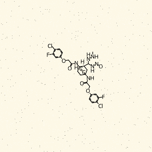 CNNC(NN=O)[C@H]1CC2(NC(=O)COc3ccc(Cl)c(F)c3)CCC1(NC(=O)COc1ccc(Cl)c(F)c1)CC2